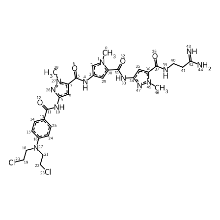 Cn1cc(NC(=O)c2cc(NC(=O)c3ccc(N(CCCl)CCCl)cc3)nn2C)cc1C(=O)Nc1cc(C(=O)NCCC(=N)N)n(C)n1